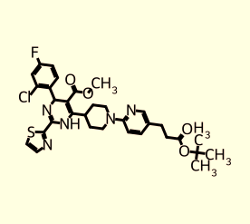 COC(=O)C1=C(C2CCN(c3ccc(CCC(=O)OC(C)(C)C)cn3)CC2)NC(c2nccs2)=NC1c1ccc(F)cc1Cl